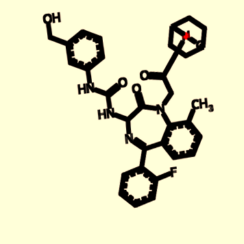 Cc1cccc2c1N(CC(=O)N1CC3CCC(CC3)C1)C(=O)C(NC(=O)Nc1cccc(CO)c1)N=C2c1ccccc1F